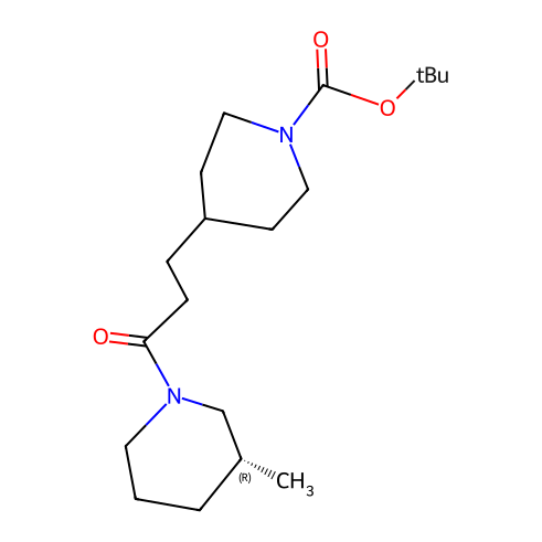 C[C@@H]1CCCN(C(=O)CCC2CCN(C(=O)OC(C)(C)C)CC2)C1